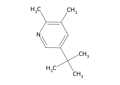 Cc1cc(C(C)(C)C)cnc1C